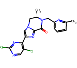 Cc1cccc(CN2C(=O)c3nc(-c4nc(Cl)ncc4Cl)cn3C[C@@H]2C)n1